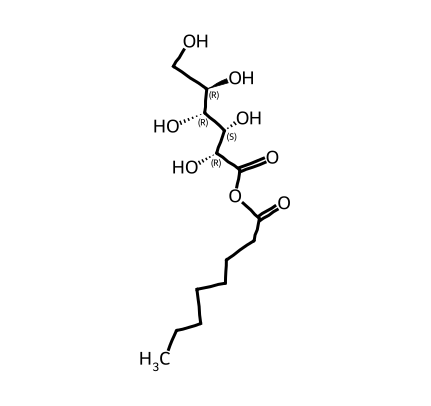 CCCCCCCC(=O)OC(=O)[C@H](O)[C@@H](O)[C@H](O)[C@H](O)CO